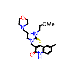 COCCNC(=S)N(CCCN1CCOCC1)Cc1cc2cc(C)ccc2[nH]c1=O